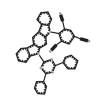 N#Cc1cc(C#N)c(-n2c3ccccc3c3cc4c5ccccc5n(-c5nc(-c6ccccc6)nc(-c6ccccc6)n5)c4cc32)c(C#N)c1